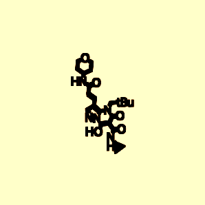 CC(C)(C)Cn1c(=O)c(C(=O)NC2CC2)c(O)n2ncc(/C=C/C(=O)NC3CCOCC3)c12